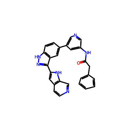 O=C(Cc1ccccc1)Nc1cncc(-c2ccc3[nH]nc(-c4cc5ccncc5[nH]4)c3c2)c1